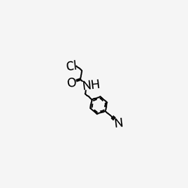 N#Cc1ccc(CNC(=O)CCl)cc1